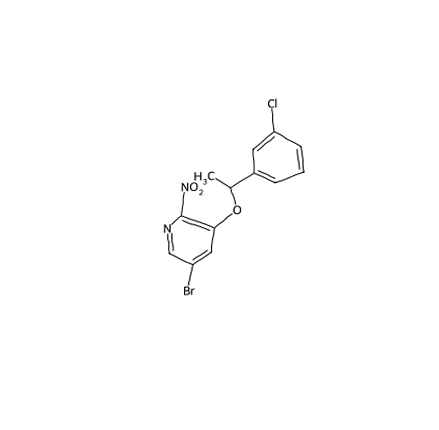 CC(Oc1cc(Br)cnc1[N+](=O)[O-])c1cccc(Cl)c1